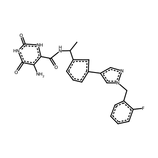 CC(NC(=O)c1[nH]c(=O)[nH]c(=O)c1N)c1cccc(-c2cnn(Cc3ccccc3F)c2)c1